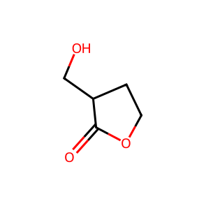 O=C1OCCC1CO